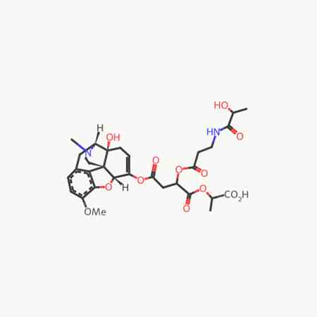 COc1ccc2c3c1O[C@H]1C(OC(=O)CC(OC(=O)CCNC(=O)C(C)O)C(=O)OC(C)C(=O)O)=CC[C@@]4(O)[C@@H](C2)N(C)CC[C@]314